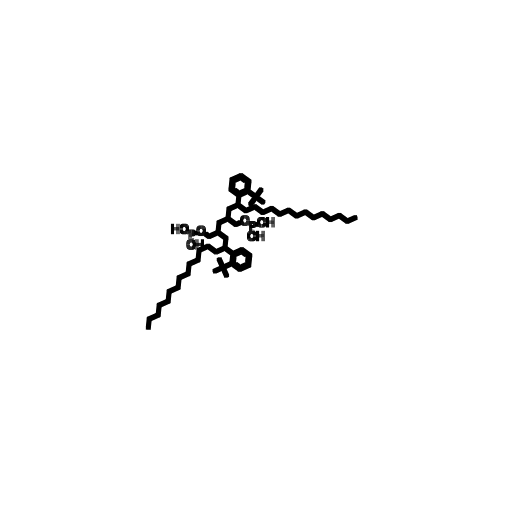 CCCCCCCCCCCCCCC(CC(COP(O)O)CC(COP(O)O)CC(CCCCCCCCCCCCCC)c1ccccc1C(C)(C)C)c1ccccc1C(C)(C)C